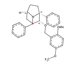 COc1ccc(OC(F)(F)F)cc1CO[C@@H]1CC[C@H]2CC[C@]1(c1ccccc1)N2Cc1ccccc1